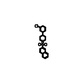 O=S(=O)(c1ccc2ccccc2c1)N1CCC(C2C=CCC(Cl)=C2)CC1